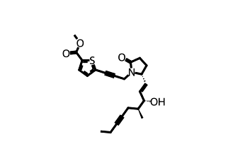 CCC#CC[C@H](C)[C@@H](O)C=C[C@H]1CCC(=O)N1CC#Cc1ccc(C(=O)OC)s1